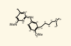 CNc1cc(C)nc(Nc2ccc(OC)c(CCCCN(C)C)c2)n1